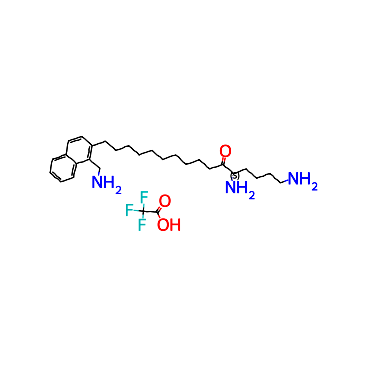 NCCCC[C@H](N)C(=O)CCCCCCCCCCc1ccc2ccccc2c1CN.O=C(O)C(F)(F)F